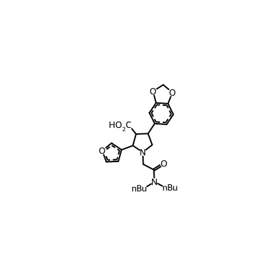 CCCCN(CCCC)C(=O)CN1CC(c2ccc3c(c2)OCO3)C(C(=O)O)C1c1ccoc1